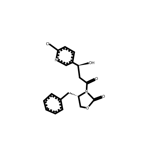 O=C(C[C@H](O)c1ccc(Cl)nc1)N1C(=O)OC[C@@H]1Cc1ccccc1